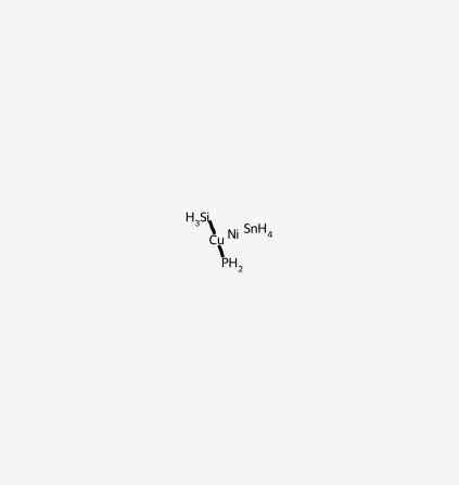 [Ni].[SiH3][Cu][PH2].[SnH4]